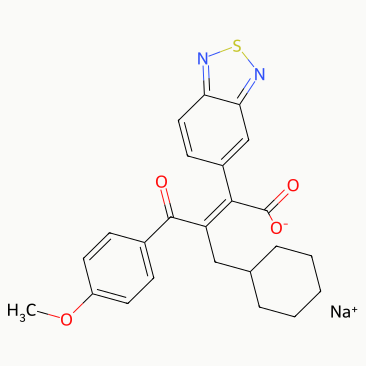 COc1ccc(C(=O)C(CC2CCCCC2)=C(C(=O)[O-])c2ccc3nsnc3c2)cc1.[Na+]